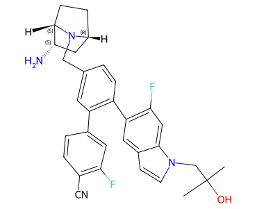 CC(C)(O)Cn1ccc2cc(-c3ccc(CN4[C@@H]5CC[C@H]4[C@@H](N)C5)cc3-c3ccc(C#N)c(F)c3)c(F)cc21